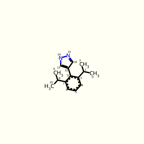 CC(C)c1cccc(C(C)C)c1C1=C[N]N=C1